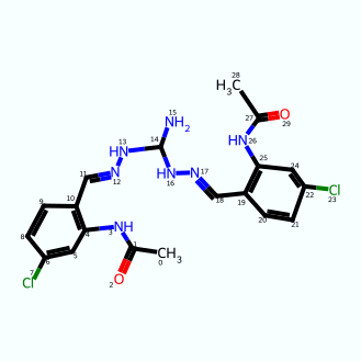 CC(=O)Nc1cc(Cl)ccc1/C=N/NC(N)N/N=C/c1ccc(Cl)cc1NC(C)=O